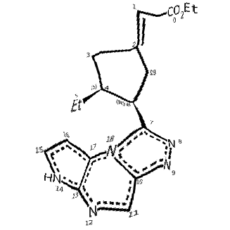 CCOC(=O)C=C1C[C@H](CC)[C@H](c2nnc3cnc4[nH]ccc4n23)C1